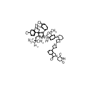 COc1cc(N2CCCCC23CC(N2CC(c4cccc5c4CN(C4CCC(=O)NC4=O)C5=O)C2)C3)ccc1NC(=O)[C@@H]1N[C@@H](CC(C)(C)C)[C@@]2(CNc3cc(Cl)ccc32)[C@H]1c1cccc(Cl)c1F